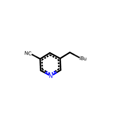 CCC(C)Cc1cncc(C#N)c1